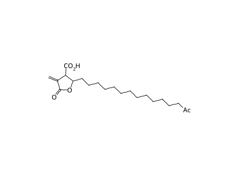 C=C1C(=O)OC(CCCCCCCCCCCCCC(C)=O)C1C(=O)O